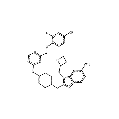 N#Cc1ccc(OCc2nccc(OC3CCC(Cc4nc5ccc(C(=O)O)cc5n4C[C@@H]4CCO4)CC3)n2)c(F)c1